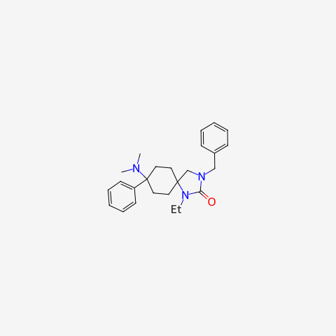 CCN1C(=O)N(Cc2ccccc2)CC12CCC(c1ccccc1)(N(C)C)CC2